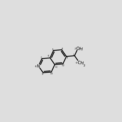 CC(O)c1ccc2cnccc2c1